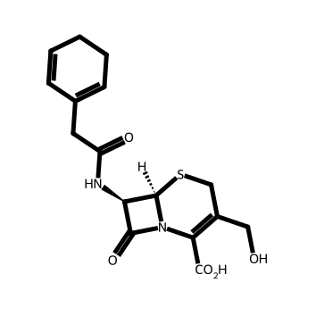 O=C(CC1=CCCC=C1)N[C@@H]1C(=O)N2C(C(=O)O)=C(CO)CS[C@H]12